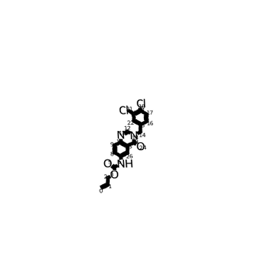 C=CCOC(=O)Nc1ccc2ncn(Cc3ccc(Cl)c(Cl)c3)c(=O)c2c1